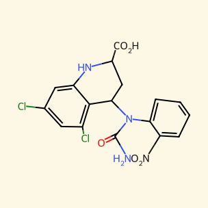 NC(=O)N(c1ccccc1[N+](=O)[O-])C1CC(C(=O)O)Nc2cc(Cl)cc(Cl)c21